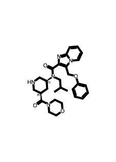 CC(C)CN(C(=O)c1nc2ccccn2c1COc1ccccc1)[C@@H]1CNC[C@H](C(=O)N2CCOCC2)C1